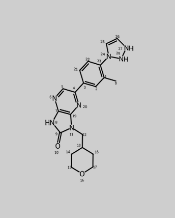 Cc1cc(-c2cnc3[nH]c(=O)n(CC4CCOCC4)c3n2)ccc1N1C=CNN1